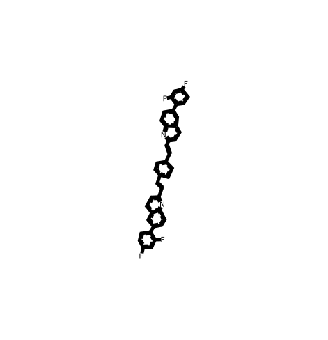 Fc1ccc(-c2ccc3nc(/C=C/c4ccc(/C=C/c5ccc6cc(-c7ccc(F)cc7F)ccc6n5)cc4)ccc3c2)c(F)c1